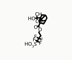 CC(C)(O)C12CC3CC(CC(C(=O)OCCC(F)(F)C(F)(F)S(=O)(=O)O)(C3)C1)C2